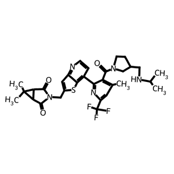 Cc1cc(C(F)(F)F)nc(-c2ccnc3cc(CN4C(=O)C5C(C4=O)C5(C)C)sc23)c1C(=O)N1CCC(CNC(C)C)C1